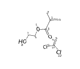 C=C(C)C(=O)OCCO.C=C(Cl)Cl